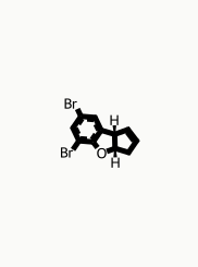 Brc1cc(Br)c2c(c1)[C@@H]1C=CC[C@@H]1O2